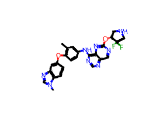 Cc1cc(Nc2ncnc3cnc(O[C@H]4CNCC4(F)F)nc23)ccc1Oc1ccc2c(c1)ncn2C